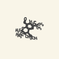 C#CC1c2cc([Si](C)(C)C)cc(C=O)c2OC(C)(C)C1(C)C